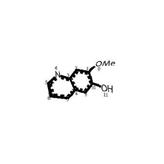 COc1cc2ncccc2cc1O